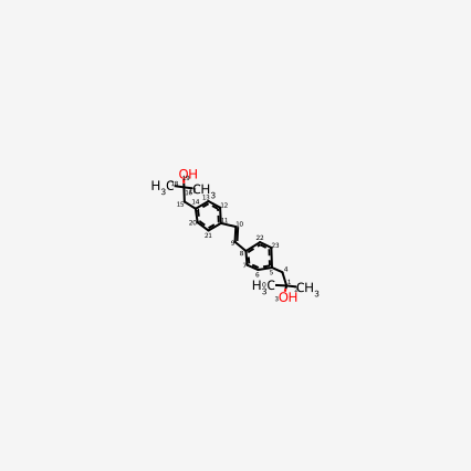 CC(C)(O)Cc1ccc(C=Cc2ccc(CC(C)(C)O)cc2)cc1